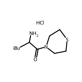 CCC(C)C(N)C(=O)N1CCSCC1.Cl